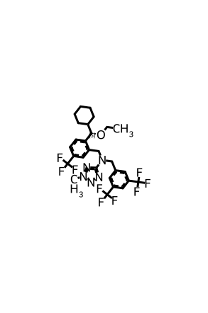 CCO[C@H](c1ccc(C(F)(F)F)cc1CN(Cc1cc(C(F)(F)F)cc(C(F)(F)F)c1)c1nnn(C)n1)C1CCCCC1